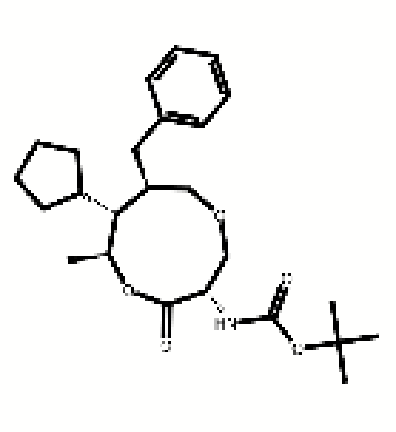 C[C@@H]1OC(=O)[C@@H](NC(=O)OC(C)(C)C)COC[C@H](Cc2ccccc2)[C@H]1C1CCCC1